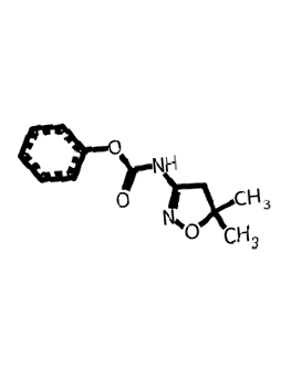 CC1(C)CC(NC(=O)Oc2ccccc2)=NO1